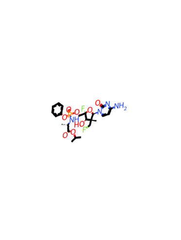 CC(C)OC(=O)[C@H](C)NP(=O)(OC[C@@]1(F)O[C@@H](n2ccc(N)nc2=O)[C@](C)(CF)[C@@H]1O)Oc1ccccc1